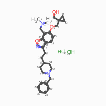 CN(C)Cc1c(OCC2(CO)CC2)ccc2c(CCC3CCN(Cc4ccccc4)CC3)noc12.Cl.Cl